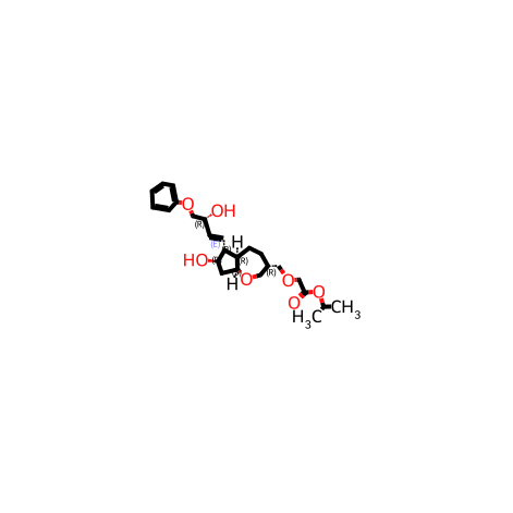 CC(C)OC(=O)COC[C@H]1CC[C@@H]2[C@@H](/C=C/[C@@H](O)COc3ccccc3)[C@H](O)C[C@@H]2OC1